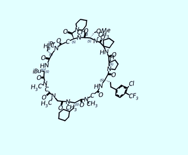 CC[C@H](C)[C@@H]1NC(=O)[C@H](CC(C)C)N(C)C(=O)C[C@@H](C(=O)N2CCCCC2)N(C)C(=O)[C@H](COC)N(C)C(=O)C2(CCCC2)NC(=O)[C@@H]2CCCN2C(=O)[C@H](CCc2ccc(C(F)(F)F)c(Cl)c2)NC(=O)CN(C)C(=O)[C@H](CC2CCCCC2)N(C)C(=O)CN(C)C(=O)CN(C)C1=O